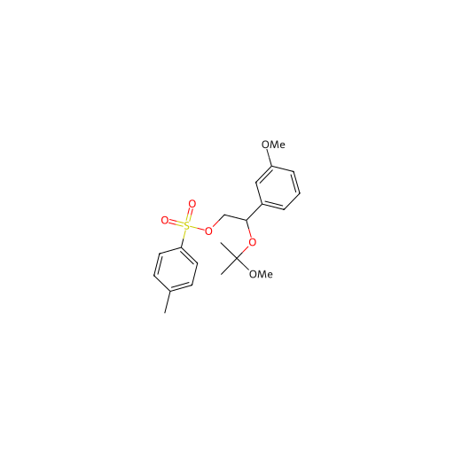 COc1cccc(C(COS(=O)(=O)c2ccc(C)cc2)OC(C)(C)OC)c1